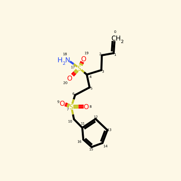 C=CCCC(CCS(=O)(=O)Cc1ccccc1)S(N)(=O)=O